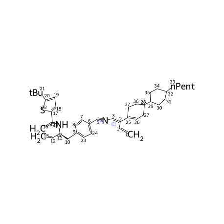 C=C/C(=C\N=C\c1ccc(C[C@@H](C=C)NC(=C)c2ccc(C(C)(C)C)s2)cc1)C1=CCC(C2CCC(CCCCC)CC2)CC1